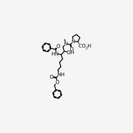 CN(CC(O)C(CCCCNC(=O)OCc1ccccc1)NC(=O)c1ccccc1)C(=O)N1CCC[C@H]1C(=O)O